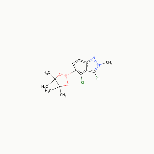 Cn1nc2ccc(B3OC(C)(C)C(C)(C)O3)c(Cl)c2c1Cl